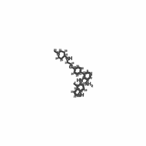 Cc1c(Nc2c(N)cncc2-c2ccc(OCCNC3CCN(C)CC3)cc2)ccc2[nH]ccc12